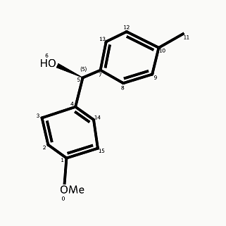 COc1ccc([C@@H](O)c2ccc(C)cc2)cc1